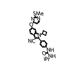 CSc1nccc(Oc2ccc3c(C#N)c(-c4ccc(NC(=O)NC(C)C)cc4)n(C4CCC4)c3c2)n1